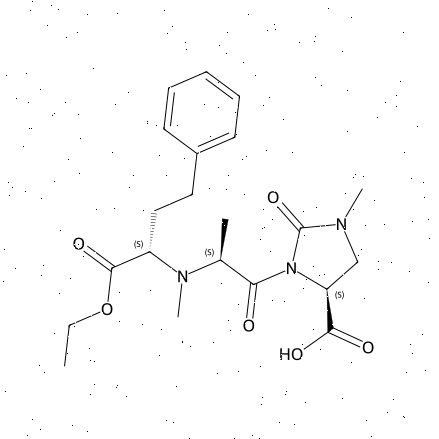 CCOC(=O)[C@H](CCc1ccccc1)N(C)[C@@H](C)C(=O)N1C(=O)N(C)C[C@H]1C(=O)O